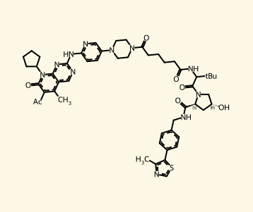 CC(=O)c1c(C)c2cnc(Nc3ccc(N4CCN(C(=O)CCCCC(=O)NC(C(=O)N5C[C@H](O)C[C@H]5C(=O)NCc5ccc(-c6scnc6C)cc5)C(C)(C)C)CC4)cn3)nc2n(C2CCCC2)c1=O